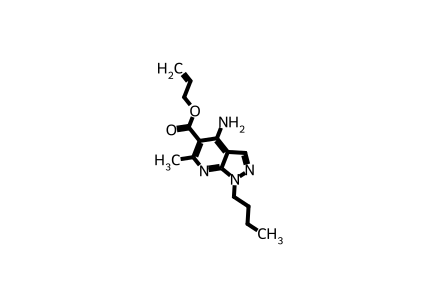 C=CCOC(=O)c1c(C)nc2c(cnn2CCCC)c1N